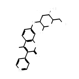 Cc1c(-c2ccncc2)c(=O)oc2cc(NC3C(O)OC(CO)[C@H](O)[C@H]3O)ccc12